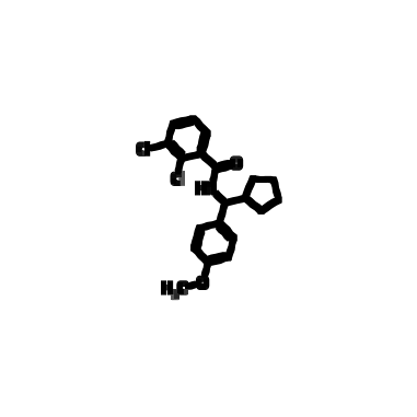 COc1ccc(C(NC(=O)c2cccc(Cl)c2Cl)C2CCCC2)cc1